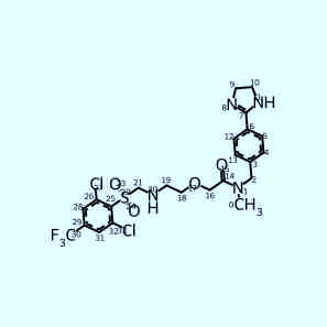 CN(Cc1ccc(C2=NCCN2)cc1)C(=O)COCCNCS(=O)(=O)c1c(Cl)cc(C(F)(F)F)cc1Cl